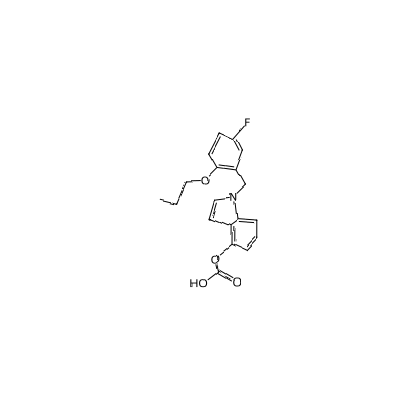 CCCOc1ccc(F)cc1Cn1ccc2c(OC(=O)O)cccc21